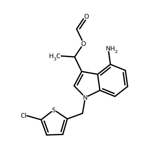 CC(OC=O)c1cn(Cc2ccc(Cl)s2)c2cccc(N)c12